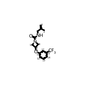 C=C(C)CNC(=O)N1CC(Oc2cccc(C(F)(F)F)c2)C1